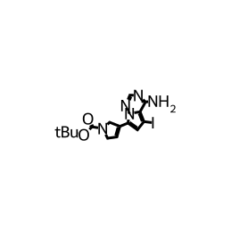 CC(C)(C)OC(=O)N1CC=C(c2cc(I)c3c(N)ncnn23)C1